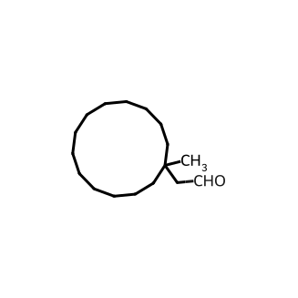 CC1(CC=O)CCCCCCCCCCCCC1